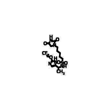 CC(NS(=O)(=O)CCCCCN1CC(=O)NC1=O)c1cnc(OCC(F)(F)F)[nH]1